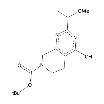 COC(C)c1nc(O)c2c(n1)CN(C(=O)OC(C)(C)C)CC2